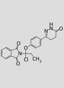 CCC(Cl)(Oc1ccc(C2=NNC(=O)CC2)cc1)N1C(=O)c2ccccc2C1=O